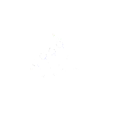 CCCCCCCCCCCCCCCC[n+]1ccccc1.CCCCCCCCCCCCCC[n+]1ccccc1.CCCCCCCCCCCCCC[n+]1ccccc1.CCCCCCCCCCCCN1C=CC=CC1.Cl.[Br-].[Br-].[Cl-]